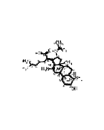 CC(=O)O[C@H]1C[C@@]2(C)[C@H](/C1=C(\CCC=C(C)C)C(=O)O)[C@H](N)C[C@H]1[C@@]3(C)CC[C@@H](O)[C@@H](N)[C@@H]3CC[C@@]12N